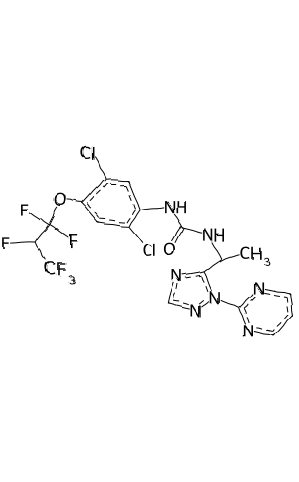 CC(NC(=O)Nc1cc(Cl)c(OC(F)(F)C(F)C(F)(F)F)cc1Cl)c1ncnn1-c1ncccn1